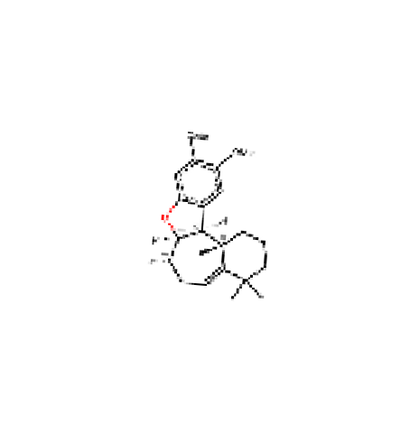 COc1cc2c(cc1OC)[C@@H]1[C@H](O2)[C@@H](C)CC=C2C(C)(C)CCC[C@]21C